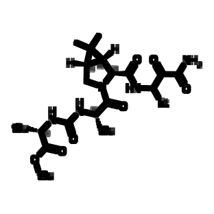 CCC(NC(=O)[C@@H]1[C@@H]2[C@H](CN1C(=O)[C@@H](NC(=O)N[C@H](C(=O)OC(C)(C)C)C(C)(C)C)C(C)(C)C)C2(C)C)C(=O)C(N)=O